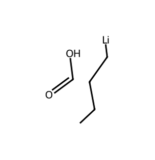 O=CO.[Li][CH2]CCC